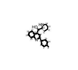 Cc1ccc(-c2cc([C@@H](O)[C@H]3CCCCN3)c3ccccc3n2)cc1